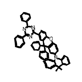 CC1(C)c2ccccc2N(c2ccc3c(c2)C(c2ccccc2)(C2C=CC=CC2)c2cc(-c4nc(-c5ccccc5)nc(-c5ccccc5)n4)ccc2O3)c2ccccc21